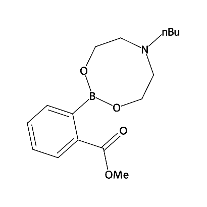 CCCCN1CCOB(c2ccccc2C(=O)OC)OCC1